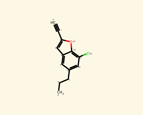 C#Cc1cc2cc(CCC)cc(Cl)c2o1